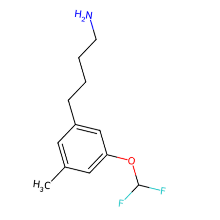 Cc1cc(CCCCN)cc(OC(F)F)c1